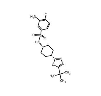 CC(C)(C)c1nnc([C@H]2CC[C@H](NS(=O)(=O)c3ccc(Cl)c(N)c3)CC2)o1